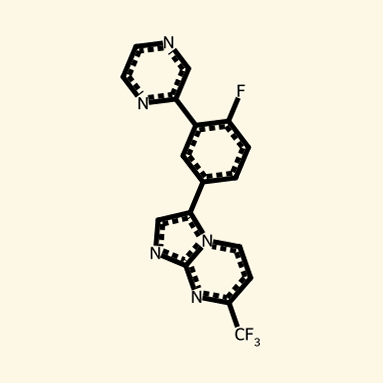 Fc1ccc(-c2cnc3nc(C(F)(F)F)ccn23)cc1-c1cnccn1